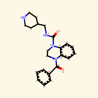 O=C(NCC1CCNCC1)N1CCN(C(=O)c2ccccc2)c2ccccc21